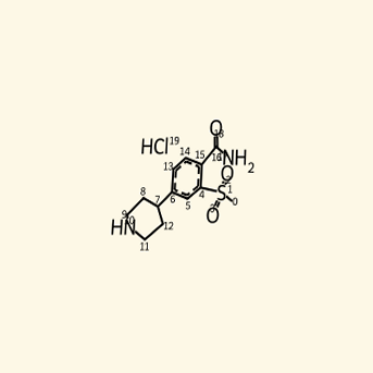 CS(=O)(=O)c1cc(C2CCNCC2)ccc1C(N)=O.Cl